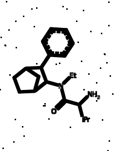 CCN(C(=O)C(N)C(C)C)C1C2CCC(C2)C1c1ccccc1